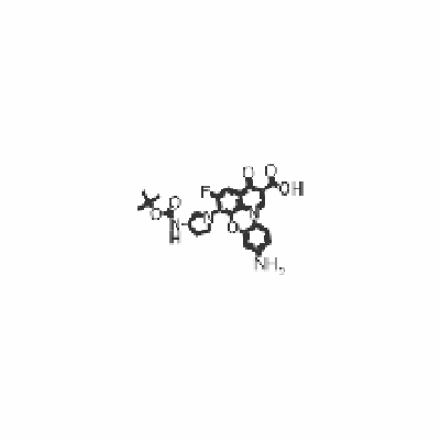 CC(C)(C)OC(=O)N[C@H]1CCN(c2c(F)cc3c(=O)c(C(=O)O)cn4c3c2Oc2cc(N)ccc2-4)C1